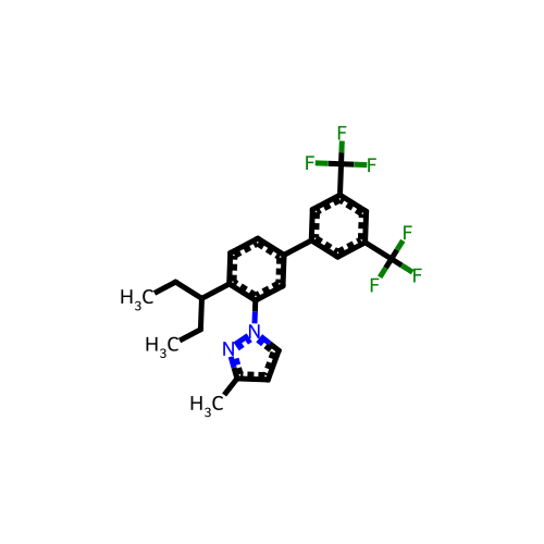 CCC(CC)c1ccc(-c2cc(C(F)(F)F)cc(C(F)(F)F)c2)cc1-n1ccc(C)n1